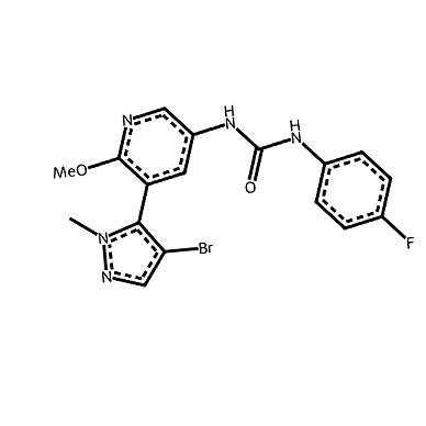 COc1ncc(NC(=O)Nc2ccc(F)cc2)cc1-c1c(Br)cnn1C